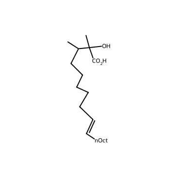 CCCCCCCCC=CCCCCCC(C)C(C)(O)C(=O)O